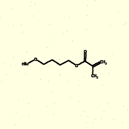 C=C(C)C(=O)OCCCCOCCCC